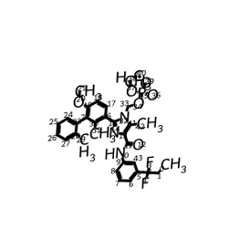 CCC(F)(F)c1cccc(NC(=O)c2nc(-c3ccc(OC)c(-c4ccccc4C)c3C)n(COP(=O)(OC)OC)c2C)c1